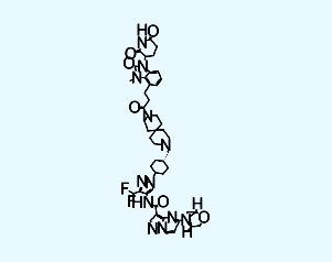 Cn1c(=O)n(C2CCC(=O)NC2=O)c2cccc(CCC(=O)N3CCC4(CCN(C[C@H]5CC[C@H](n6cc(NC(=O)c7cnn8ccc(N9C[C@H]%10C[C@@H]9CO%10)nc78)c(C(F)F)n6)CC5)CC4)CC3)c21